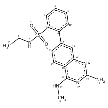 CCNS(=O)(=O)c1ccccc1-c1ccc2c(NC)nc(N)nc2c1